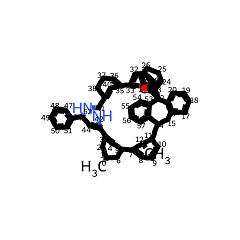 CC1CC2=CC(C1)C1=CC=CC(C1C)C1Cc3ccccc3C(C3=CCCC=C3)(c3cccc(c3)C3=CCCC(=C3)C3NC2=CC(c2ccccc2)N3)c2ccccc21